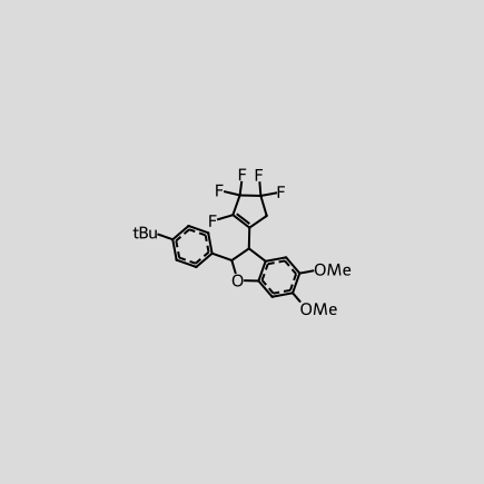 COc1cc2c(cc1OC)C(C1=C(F)C(F)(F)C(F)(F)C1)C(c1ccc(C(C)(C)C)cc1)O2